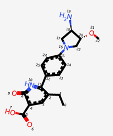 CCc1cc(C(=O)O)c(=O)[nH]c1-c1ccc(N2C[C@@H](N)[C@H](OC)C2)cc1